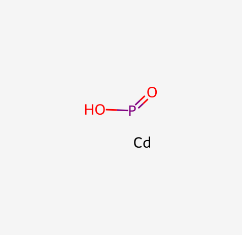 O=PO.[Cd]